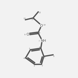 Cc1cc[c]cc1NC(=O)OC(C)C